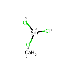 [CaH2].[Cl][Sm]([Cl])[Cl]